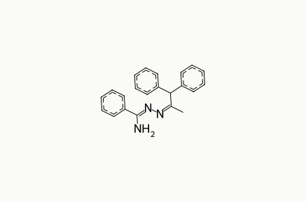 CC(=NN=C(N)c1ccccc1)C(c1ccccc1)c1ccccc1